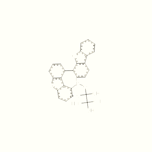 CC(C)(O)C(C)(C)OBc1cccc2oc3cccc(-c4cccc5c4oc4ccccc45)c3c12